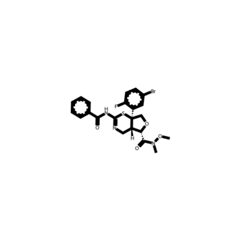 CON(C)C(=O)[C@H]1OC[C@]2(c3cc(Br)ccc3F)SC(NC(=O)c3ccccc3)=NC[C@@H]12